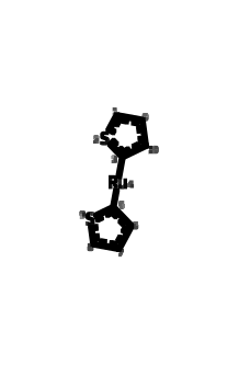 c1cs[c]([Ru][c]2cccs2)c1